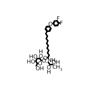 C[C@@H](O)[C@@H](O)[C@H](CO[C@H]1OC(CO)[C@H](O)C(O)C1O)NC(=O)CCCCCCCCCCc1ccc(Oc2ccc(F)c(F)c2)cc1